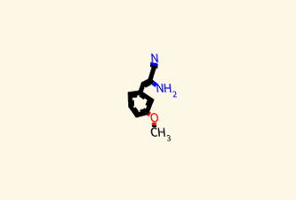 COc1cccc(C=C(N)C#N)c1